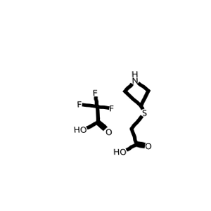 O=C(O)C(F)(F)F.O=C(O)CSC1CNC1